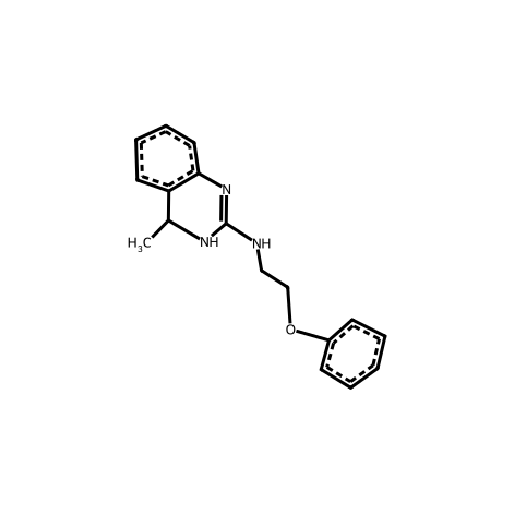 CC1NC(NCCOc2ccccc2)=Nc2ccccc21